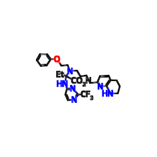 CCC(Nc1ccnc(C(F)(F)F)n1)(C(=O)O)N(CCCCc1ccc2c(n1)NCCC2)CCOc1ccccc1